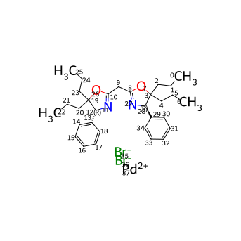 CCCC1(CCC)OC(CC2=N[C@H](c3ccccc3)C(CCC)(CCC)O2)=N[C@@H]1c1ccccc1.[Br-].[Br-].[Pd+2]